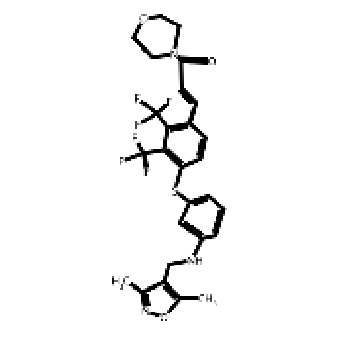 Cc1noc(C)c1CNc1cccc(Sc2ccc(/C=C/C(=O)N3CCOCC3)c(C(F)(F)F)c2C(F)(F)F)c1